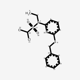 CCN(c1cccc(SCc2ccccc2)n1)S(=O)(=O)C(Cl)Cl